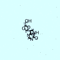 O=c1ncnc2c([C@@H]3CO[C@H](CO)O3)c[nH]n12